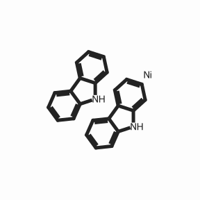 [Ni].c1ccc2c(c1)[nH]c1ccccc12.c1ccc2c(c1)[nH]c1ccccc12